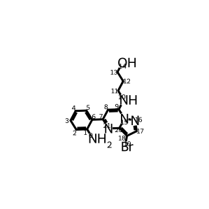 Nc1ccccc1-c1cc(NCCCO)n2ncc(Br)c2n1